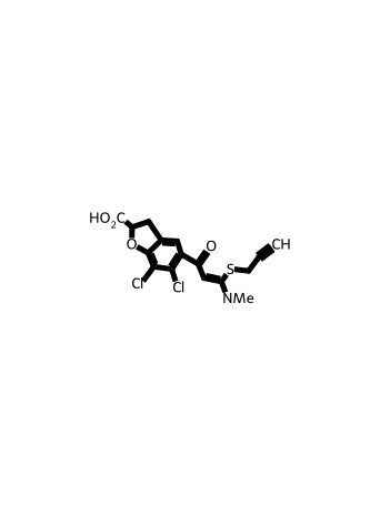 C#CCS/C(=C\C(=O)c1cc2c(c(Cl)c1Cl)OC(C(=O)O)C2)NC